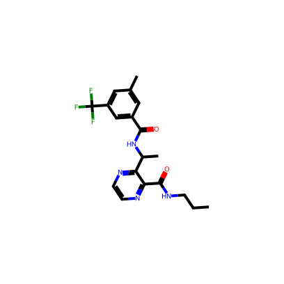 CCCNC(=O)c1nccnc1C(C)NC(=O)c1cc(C)cc(C(F)(F)F)c1